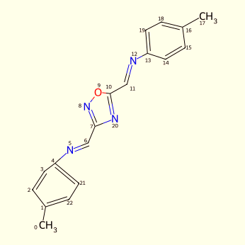 Cc1ccc(/N=C/c2noc(/C=N/c3ccc(C)cc3)n2)cc1